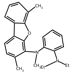 CCN(CC)c1ccccc1N(C)c1c(C)ccc2c1oc1c(C)cccc12